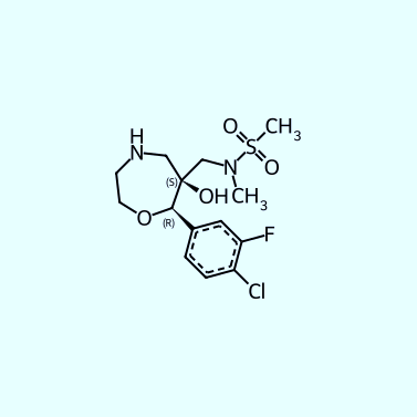 CN(C[C@@]1(O)CNCCO[C@@H]1c1ccc(Cl)c(F)c1)S(C)(=O)=O